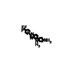 NC1CCC(N)(c2ccc3nc(N4CCC(C(F)(F)F)CC4)cnc3c2)CC1